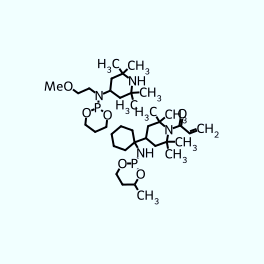 C=CC(=O)N1C(C)(C)CC(C2(NP3OCCC(C)O3)CCCCC2)CC1(C)C.COCCN(C1CC(C)(C)NC(C)(C)C1)P1OCCCO1